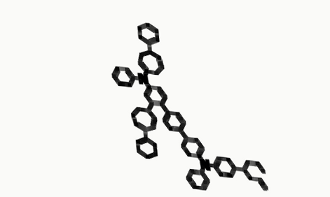 C=CCC(/C=C\C)C1C=CC(N(C2=CC=C(c3ccc(-c4ccc(N(C5=CCC(C6=CC=CCC6)C=CC5)c5ccccc5)cc4C4C=CC(C5=CCCCC5)=CCC4)cc3)CC2)c2ccccc2)=CC1